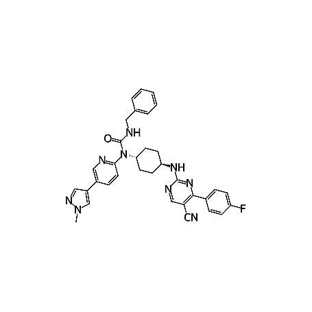 Cn1cc(-c2ccc(N(C(=O)NCc3ccccc3)[C@H]3CC[C@H](Nc4ncc(C#N)c(-c5ccc(F)cc5)n4)CC3)nc2)cn1